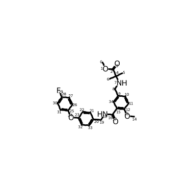 COC(=O)C(C)(C)NCc1ccc(OC)c(C(=O)NCc2ccc(Oc3ccc(F)cc3)cc2)c1